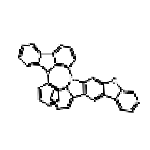 c1ccc(-n2c3ccccc3c3cccc(-n4c5ccccc5c5cc6c(cc54)oc4ccccc46)c32)cc1